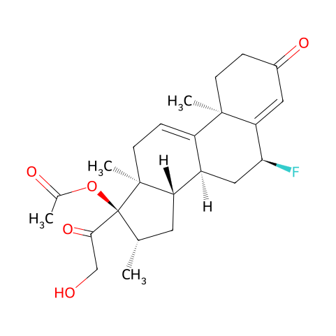 CC(=O)O[C@]1(C(=O)CO)[C@@H](C)C[C@H]2[C@@H]3C[C@H](F)C4=CC(=O)CC[C@]4(C)C3=CC[C@@]21C